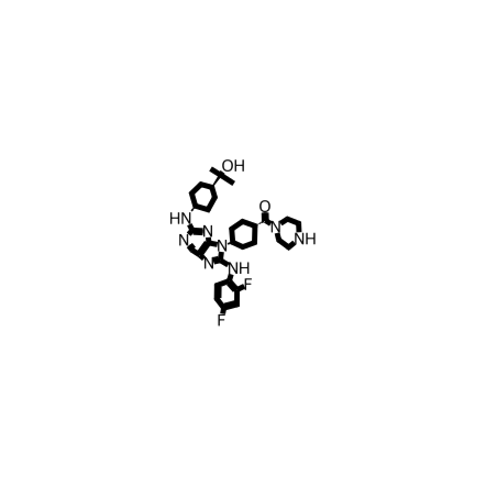 CC(C)(O)[C@H]1CC[C@H](Nc2ncc3nc(Nc4ccc(F)cc4F)n([C@H]4CC[C@@H](C(=O)N5CCNCC5)CC4)c3n2)CC1